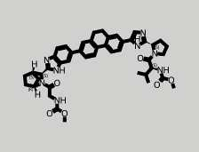 COC(=O)NCC(=O)N1[C@@H]2CC[C@@H](C2)[C@H]1c1nc2ccc(-c3ccc4c(c3)CCc3cc(-c5cnc([C@@H]6CCCN6C(=O)[C@@H](NC(=O)OC)C(C)C)[nH]5)ccc3-4)cc2[nH]1